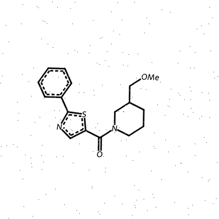 COCC1CCCN(C(=O)c2cnc(-c3ccccc3)s2)C1